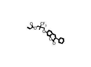 C=CC(=O)OCC(C)(COc1ccc2cc(-c3ccccc3)c(=O)oc2c1)C(F)(F)F